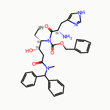 CC(C)C[C@@H]([C@@H](O)CC(=O)N(C)C(c1ccccc1)c1ccccc1)N(C(=O)OCc1ccccc1)C(=O)[C@@H](N)Cc1c[nH]cn1